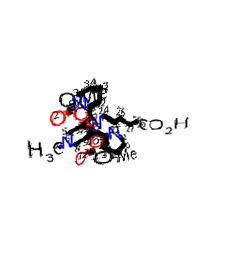 COC(=O)OC12CN(C)CC(OC(=O)OC)(C1=O)C(c1ccccn1)N(CCCCCC(=O)O)C2c1ccccn1